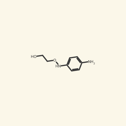 Nc1ccc(NOCCO)cc1